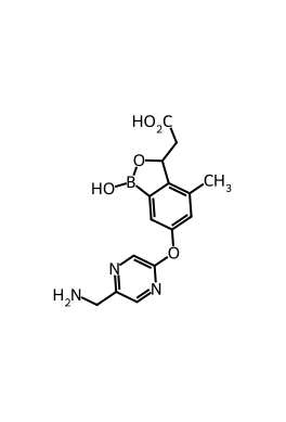 Cc1cc(Oc2cnc(CN)cn2)cc2c1C(CC(=O)O)OB2O